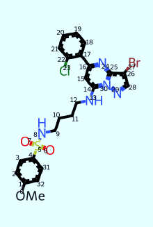 COc1ccc(S(=O)(=O)NCCCCNc2cc(-c3ccccc3Cl)nc3c(Br)cnn23)cc1